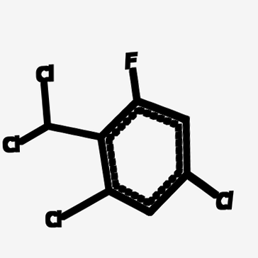 Fc1cc(Cl)cc(Cl)c1C(Cl)Cl